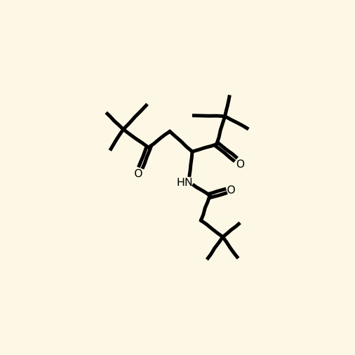 CC(C)(C)CC(=O)NC(CC(=O)C(C)(C)C)C(=O)C(C)(C)C